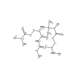 CCNC(CCC(=O)C(CC)C(C)(C)NC(CCC(=O)C(O)CC)C(=O)NCCS)C(=O)O